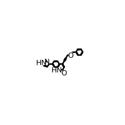 O=c1cc(C#CCOCc2ccccc2)c2ccc(-c3cc[nH]n3)cc2[nH]1